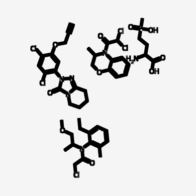 C#CCOc1cc(-n2nc3n(c2=O)CCCC3)c(Cl)cc1Cl.CC1COc2ccccc2N1C(=O)C(Cl)Cl.CCc1cccc(C)c1N(C(=O)CCl)C(C)COC.CP(=O)(O)CCC(N)C(=O)O